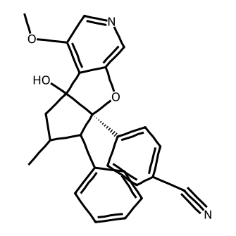 COc1cncc2c1C1(O)CC(C)C(c3ccccc3)[C@]1(c1ccc(C#N)cc1)O2